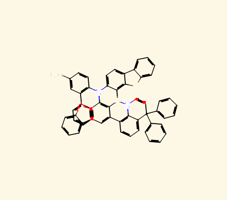 CC(C)(C)c1ccc(N2c3ccc4c(sc5ccccc54)c3B3c4c(cc5c(oc6ccccc65)c42)-c2cccc4c2N3c2ccccc2C4(c2ccccc2)c2ccccc2)c(-c2ccccc2)c1